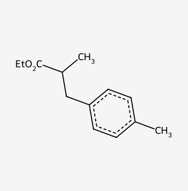 CCOC(=O)C(C)Cc1ccc(C)cc1